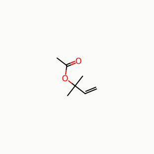 C=CC(C)(C)OC(C)=O